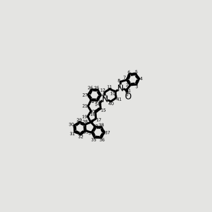 O=C1c2ccccc2CN1C1CCN(CC=CCC2(CCCc3ccccc3)c3ccccc3-c3ccccc32)CC1